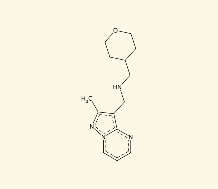 Cc1nn2cccnc2c1CNCC1CCOCC1